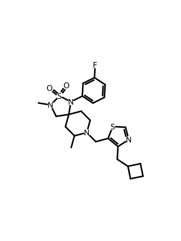 CC1CC2(CCN1Cc1scnc1CC1CCC1)CN(C)S(=O)(=O)N2c1cccc(F)c1